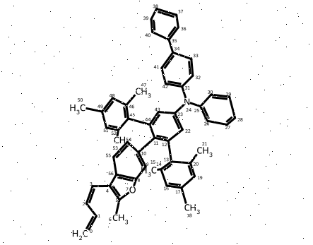 C=C/C=C\c1c(C)oc2cc(-c3c(-c4c(C)cc(C)cc4C)cc(N(c4ccccc4)c4ccc(-c5ccccc5)cc4)cc3-c3c(C)cc(C)cc3C)ccc12